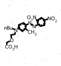 CCCCN(CCOCC(=O)O)c1ccc(N=Nc2ccc([N+](=O)[O-])cc2[N+](=O)[O-])c(C)c1